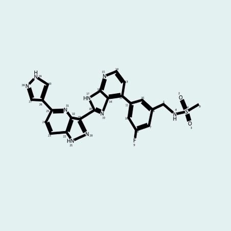 CS(=O)(=O)NCc1cc(F)cc(-c2ccnc3[nH]c(-c4n[nH]c5ccc(-c6cn[nH]c6)nc45)nc23)c1